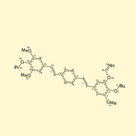 CCC(C)Oc1c(OC)cc(/C=C/c2ccc(/C=C/c3cc(OC)c(OC(C)C)c(OC)c3)cc2)cc1OC=N